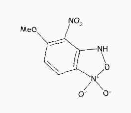 COc1ccc2c(c1[N+](=O)[O-])NO[N+]2([O-])[O-]